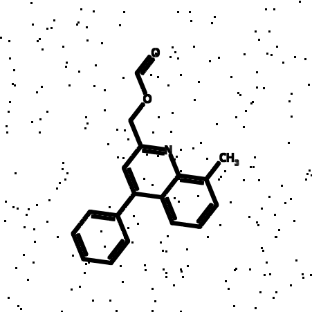 Cc1cccc2c(-c3ccccc3)cc(COC=O)nc12